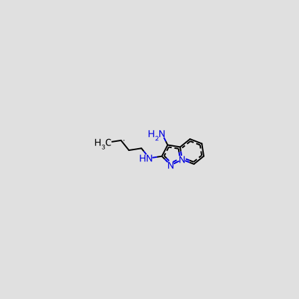 C[CH]CCNc1nn2ccccc2c1N